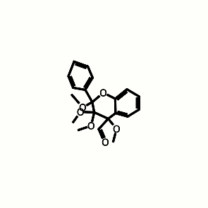 COC1(C=O)c2ccccc2OC(OC)(c2ccccc2)C1(OC)OC